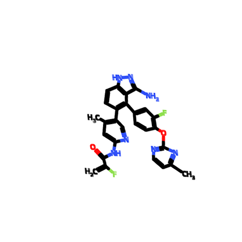 C=C(F)C(=O)Nc1cc(C)c(-c2ccc3[nH]nc(N)c3c2-c2ccc(Oc3nccc(C)n3)c(F)c2)cn1